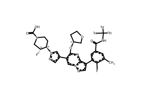 [2H]C([2H])([2H])NC(=O)c1cc(C)c(F)c(-c2cnn3cc(-c4cnn([C@@H]5CCN(C(=O)O)C[C@H]5F)c4)c(O[C@H]4CCOC4)nc23)c1